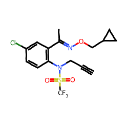 C#CCN(c1ccc(Cl)cc1/C(C)=N/OCC1CC1)S(=O)(=O)C(F)(F)F